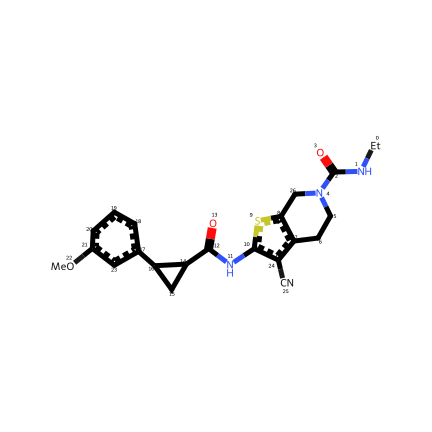 CCNC(=O)N1CCc2c(sc(NC(=O)C3CC3c3cccc(OC)c3)c2C#N)C1